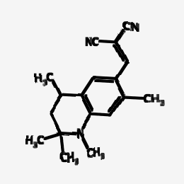 Cc1cc2c(cc1C=C(C#N)C#N)C(C)CC(C)(C)N2C